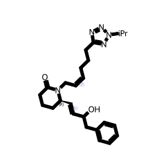 CC(C)n1nnc(CCC/C=C\CN2C(=O)CCC[C@@H]2/C=C/C(O)Cc2ccccc2)n1